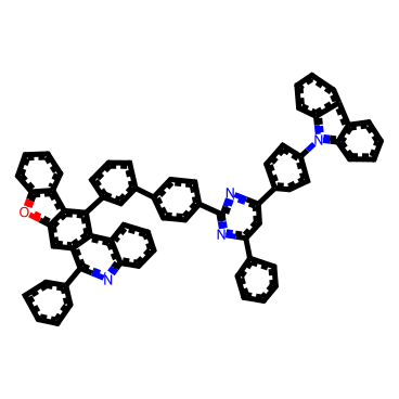 c1ccc(-c2cc(-c3ccc(-n4c5ccccc5c5ccccc54)cc3)nc(-c3ccc(-c4cccc(-c5c6c(cc7c(-c8ccccc8)nc8ccccc8c57)oc5ccccc56)c4)cc3)n2)cc1